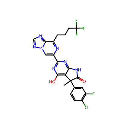 CC1(c2ccc(Cl)c(F)c2)C(=O)Nc2nc(-c3cn4ncnc4c(CCCC(F)(F)F)n3)nc(O)c21